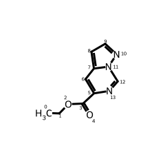 CCOC(=O)c1cc2ccnn2cn1